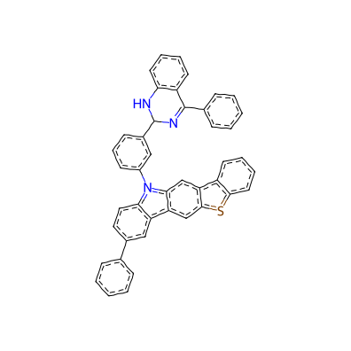 c1ccc(C2=NC(c3cccc(-n4c5ccc(-c6ccccc6)cc5c5cc6sc7ccccc7c6cc54)c3)Nc3ccccc32)cc1